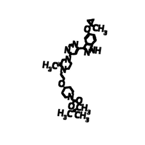 C[C@H]1CN(c2cc(-c3n[nH]c4ccc(OC5(C)CC5)cc34)ncn2)CCN1CCOC1CCN(C(=O)OC(C)(C)C)CC1